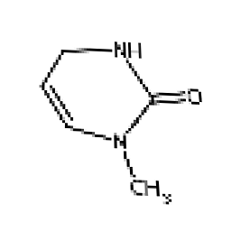 CN1C=CCNC1=O